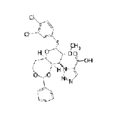 CO[C@@H]1[C@@H](n2nncc2C(=O)O)[C@H]2OC(c3ccccc3)OCC[C@H]2O[C@@H]1Sc1ccc(Cl)c(Cl)c1